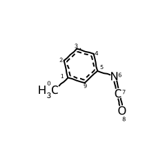 Cc1c[c]cc(N=C=O)c1